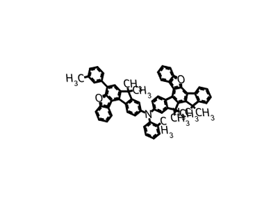 Cc1cccc(-c2cc3c(c4c2oc2ccccc24)-c2ccc(N(c4ccc5c(c4)C(C)(C)c4c6c(c7oc8ccccc8c7c4-5)-c4ccccc4C6(C)C)c4ccccc4C)cc2C3(C)C)c1